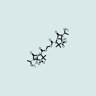 CC(N)[C@@H]1C(=O)N2[C@@H](C(=O)OCOC(=O)[C@@H]3N4C(=O)[C@@H](C(C)N)[C@H]4S(=O)(=O)C3(C)C)C(C)(C)S(=O)(=O)[C@H]12